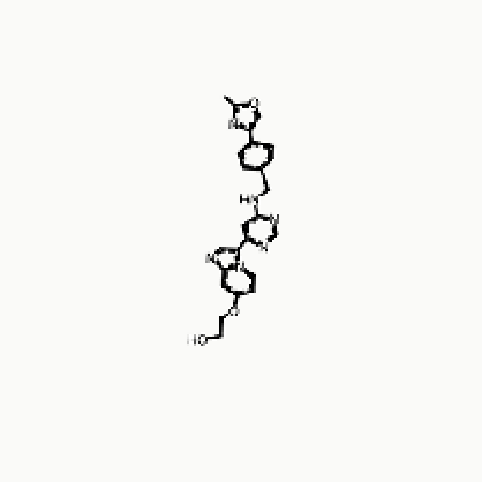 Cc1nc(-c2ccc(CNc3cc(-c4cnc5cc(OCCO)ccn45)ncn3)cc2)co1